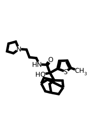 Cc1ccc(C(O)(C(=O)NCCCN2CCCC2)C23CC4CC(CC(C4)C2)C3)s1